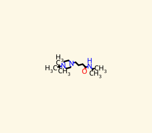 CC(C)NC(=O)CCCN1CCN(C(C)(C)C)CC1